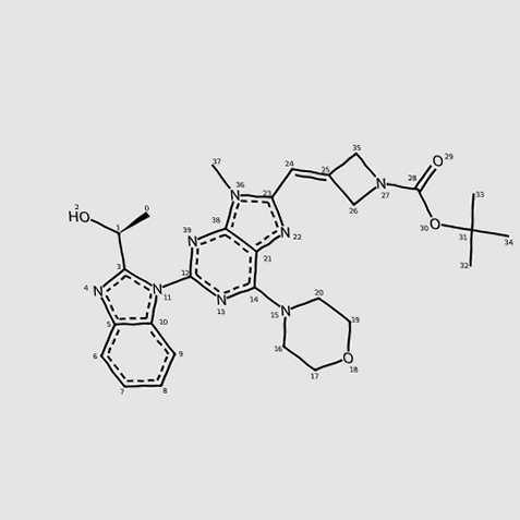 C[C@H](O)c1nc2ccccc2n1-c1nc(N2CCOCC2)c2nc(C=C3CN(C(=O)OC(C)(C)C)C3)n(C)c2n1